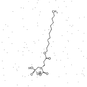 CCCCCCCCCCCCOC(=O)CC[C@H](CP(=O)(O)O)C(=O)O